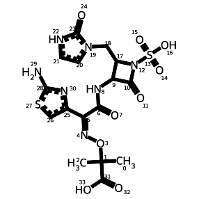 CC(C)(O/N=C(\C(=O)NC1C(=O)N(S(=O)(=O)O)C1Cn1cc[nH]c1=O)c1csc(N)n1)C(=O)O